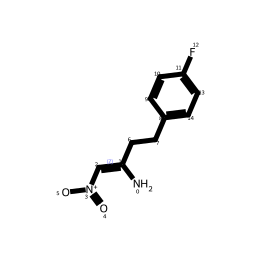 N/C(=C\[N+](=O)[O-])CCc1ccc(F)cc1